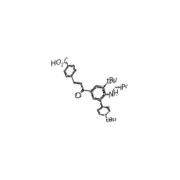 CC(C)CNc1c(-c2ccc(C(C)(C)C)cc2)cc(C(=O)/C=C/c2ccc(C(=O)O)cc2)cc1C(C)(C)C